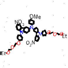 CCOCCOCCOc1ccc(-n2c3ccc(N(c4ccc(OC)cc4)c4ccc5c(c4)c4cc([N+](=O)[O-])ccc4n5-c4ccc(OCCOCCOCC)cc4)cc3c3cc([N+](=O)[O-])ccc32)cc1